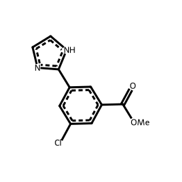 COC(=O)c1cc(Cl)cc(-c2ncc[nH]2)c1